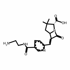 CC1(C)CC2/C(=C\c3ccc(C(=O)NCCN)cn3)C(=O)N2[C@H]1C(=O)O